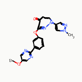 CCOc1cnc(-c2cccc(Oc3nn(-c4cnn(C)c4)ccc3=O)c2)nc1